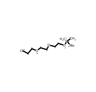 CC(C)(C)[Si](C)(C)OCCOCCOCCCl